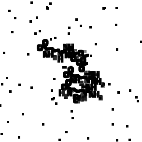 CC(=O)[O-].CC(=O)[O-].CC(=O)[O-].N=C(N)NCCC[C@H](N)C(=O)[O-].N=C(N)NCCC[C@H](N)C(=O)[O-].N=C(N)NCCC[C@H](N)C(=O)[O-].[Cr+3].[Cr+3]